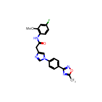 COc1cc(F)ccc1NC(=O)Cc1cn(-c2ccc(-c3noc(C(F)(F)F)n3)cc2)cn1